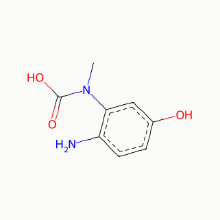 CN(C(=O)O)c1cc(O)ccc1N